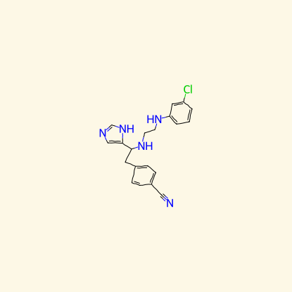 N#Cc1ccc(CC(NCCNc2cccc(Cl)c2)c2cnc[nH]2)cc1